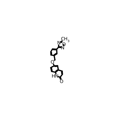 Cc1nc(-c2cccc(COc3ccc4[nH]c(=O)ccc4c3)c2)no1